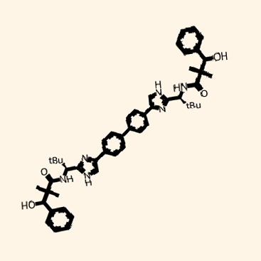 CC(C)(C(=O)N[C@H](c1nc(-c2ccc(-c3ccc(-c4c[nH]c([C@@H](NC(=O)C(C)(C)C(O)c5ccccc5)C(C)(C)C)n4)cc3)cc2)c[nH]1)C(C)(C)C)C(O)c1ccccc1